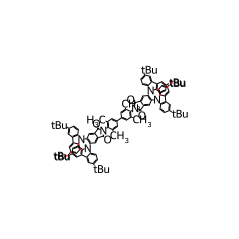 Cc1cc(-c2cc(C)c(N3C(=O)c4cc(-n5c6ccc(C(C)(C)C)cc6c6cc(C(C)(C)C)ccc65)c(-n5c6ccc(C(C)(C)C)cc6c6cc(C(C)(C)C)ccc65)cc4C3=O)c(C)c2)cc(C)c1N1C(=O)c2cc(-n3c4ccc(C(C)(C)C)cc4c4cc(C(C)(C)C)ccc43)c(-n3c4ccc(C(C)(C)C)cc4c4cc(C(C)(C)C)ccc43)cc2C1=O